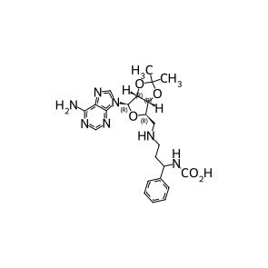 CC1(C)O[C@@H]2[C@H](O1)[C@@H](CNCCC(NC(=O)O)c1ccccc1)O[C@H]2n1cnc2c(N)ncnc21